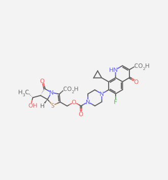 C[C@@H](O)[C@@H]1C(=O)N2C(C(=O)O)=C(COC(=O)N3CCN(c4c(F)cc5c(=O)c(C(=O)O)c[nH]c5c4C4CC4)CC3)S[C@H]12